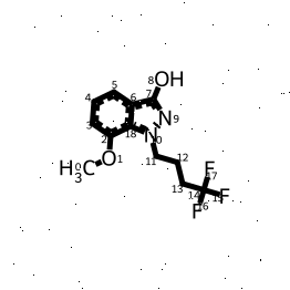 COc1cccc2c(O)nn(CCCC(F)(F)F)c12